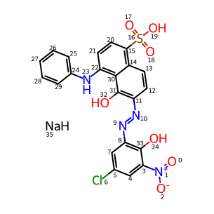 O=[N+]([O-])c1cc(Cl)cc(N=Nc2ccc3c(S(=O)(=O)O)ccc(Nc4ccccc4)c3c2O)c1O.[NaH]